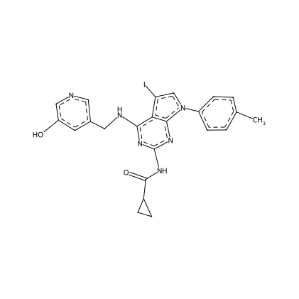 Cc1ccc(-n2cc(I)c3c(NCc4cncc(O)c4)nc(NC(=O)C4CC4)nc32)cc1